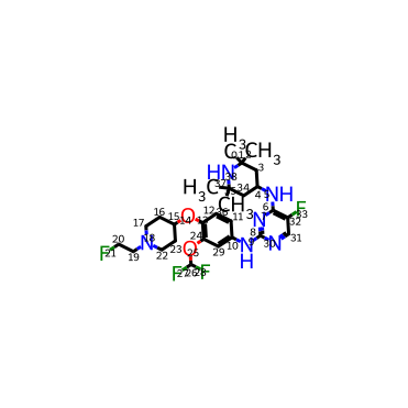 CC1(C)CC(Nc2nc(Nc3ccc(OC4CCN(CCF)CC4)c(OC(F)F)c3)ncc2F)CC(C)(C)N1